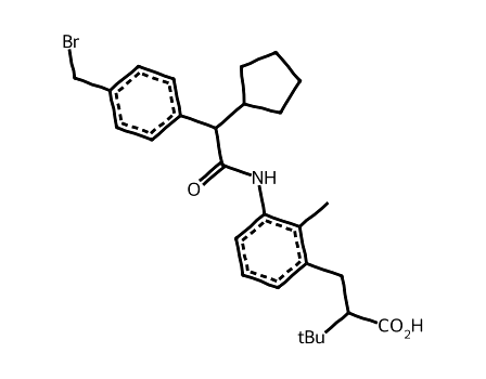 Cc1c(CC(C(=O)O)C(C)(C)C)cccc1NC(=O)C(c1ccc(CBr)cc1)C1CCCC1